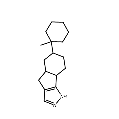 CC1(C2CCC3c4[nH]ncc4CC3C2)CCCCC1